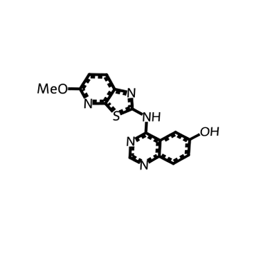 COc1ccc2nc(Nc3ncnc4ccc(O)cc34)sc2n1